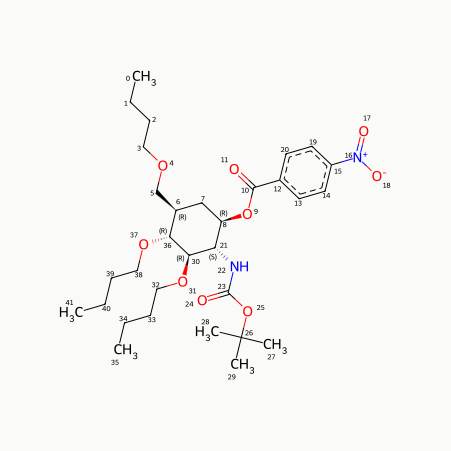 CCCCOC[C@H]1C[C@@H](OC(=O)c2ccc([N+](=O)[O-])cc2)[C@H](NC(=O)OC(C)(C)C)[C@@H](OCCCC)[C@@H]1OCCCC